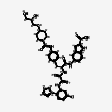 O=C(Nc1cc(Cl)ccc1-n1cnnn1)C(=O)N[C@@H](Cc1ccc(NC(=O)N2CCC(OC[C@H](O)CO)CC2)cc1)C(=O)Nc1ccc2[nH]c(C(=O)O)cc2c1